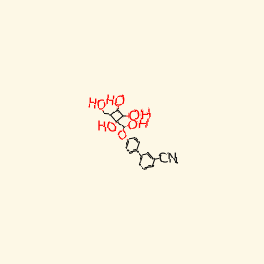 N#Cc1cccc(-c2ccc(OC(O)C3(O)C(O)C(O)C3CO)cc2)c1